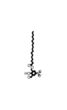 CCCCCCCCCCCCCCCCCC(=O)OCc1cc([N+](=O)[O-])cc(C=O)c1O